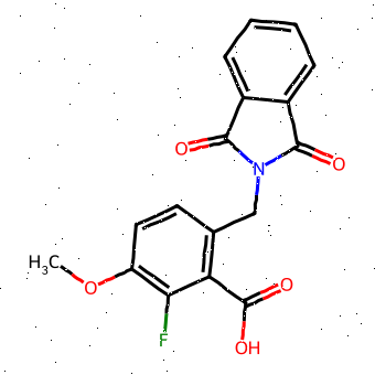 COc1ccc(CN2C(=O)c3ccccc3C2=O)c(C(=O)O)c1F